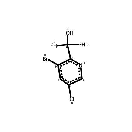 [2H]C([2H])(O)c1ncc(Cl)cc1Br